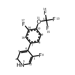 FC1=[C]NCC=C1c1ccc(OC(F)(F)F)c(F)c1